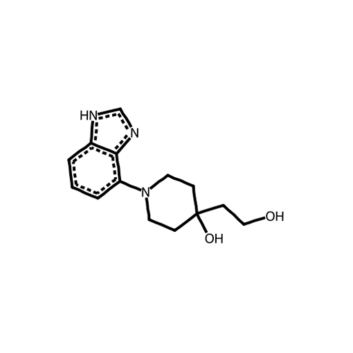 OCCC1(O)CCN(c2cccc3[nH]cnc23)CC1